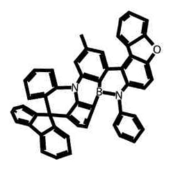 Cc1cc2c3c(c1)N1c4ccccc4C4(c5ccccc5-c5ccccc54)c4cccc(c41)B3N(c1ccccc1)c1ccc3oc4ccccc4c3c1-2